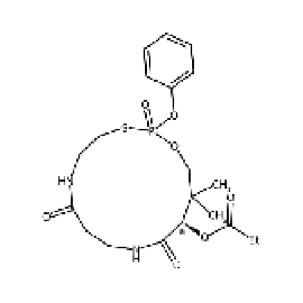 CCC(=O)O[C@H]1C(=O)NCCC(=O)NCCSP(=O)(Oc2ccccc2)OCC1(C)C